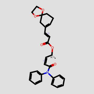 C[C@H](/C=C\C(=O)N(c1ccccc1)c1ccccc1)OC(=O)/C=C/C1=CCCC2(C1)OCCO2